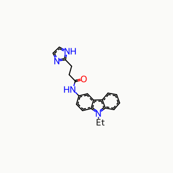 CCn1c2ccccc2c2cc(NC(=O)CCc3ncc[nH]3)ccc21